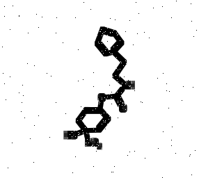 O=C(NCCc1ccccc1)OC1=CCC(O)([N+](=O)[O-])C=C1